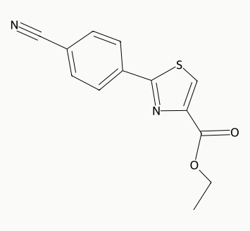 CCOC(=O)c1csc(-c2ccc(C#N)cc2)n1